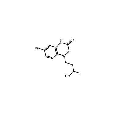 CC(O)CCN1CC(=O)Nc2cc(Br)ccc21